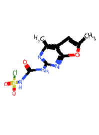 Cc1cc2c(C)nc(NC(=O)NS(=O)(=O)Cl)nc2o1